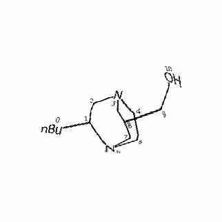 CCCCC1CN2CCN1CC2CO